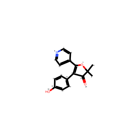 CC1(C)OC(c2ccncc2)=C(c2ccc(O)cc2)C1=O